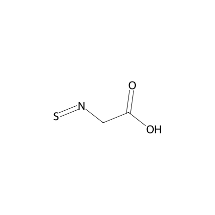 O=C(O)CN=S